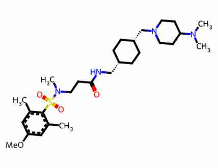 COc1cc(C)c(S(=O)(=O)N(C)CCC(=O)NC[C@H]2CC[C@@H](CN3CCC(N(C)C)CC3)CC2)c(C)c1